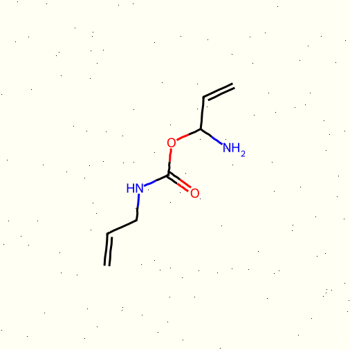 C=CCNC(=O)OC(N)C=C